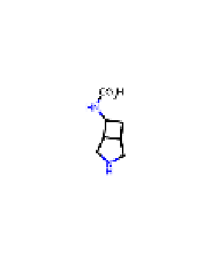 O=C(O)NC1CC2CNCC21